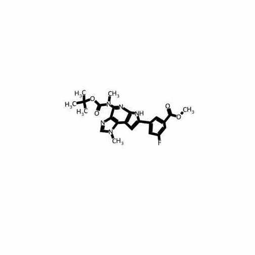 COC(=O)c1cc(F)cc(-c2cc3c(nc(N(C)C(=O)OC(C)(C)C)c4ncn(C)c43)[nH]2)c1